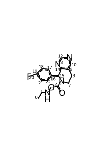 CCNOC(=O)N1CCc2cncnc2C1c1ccc(F)cc1